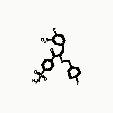 NS(=O)(=O)c1ccc(C(=O)/C(=C\c2ccc(F)c([N+](=O)[O-])c2)SCc2ccc(F)cc2)cc1